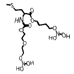 CSCCC(NC(=O)OCCOCCON(O)O)C(=O)OCCCCON(O)O